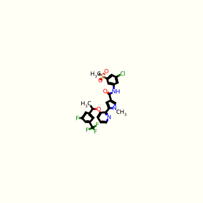 CC(Oc1cccnc1-c1cc(C(=O)Nc2cc(Cl)cc(S(C)(=O)=O)c2)cn1C)c1cc(F)cc(C(F)(F)F)c1